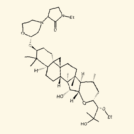 CCO[C@@H]([C@H]1C[C@@H](C)[C@H]2[C@H](O1)[C@H](O)[C@@]1(C)[C@@H]3CC[C@H]4C(C)(C)[C@@H](O[C@H]5CN(C6CCN(CC)C6=O)CCO5)CC[C@@]45C[C@@]35CC[C@]21C)C(C)(C)O